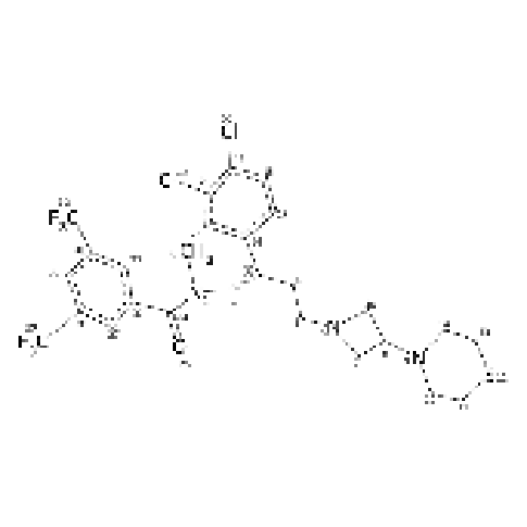 CN(C[C@@H](CCN1CC(N2CCSCC2)C1)c1ccc(Cl)c(Cl)c1)C(=O)c1cc(C(F)(F)F)cc(C(F)(F)F)c1